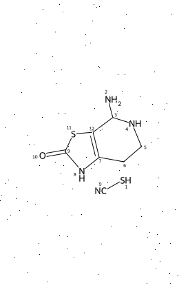 N#CS.NC1NCCc2[nH]c(=O)sc21